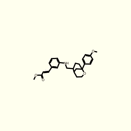 COC(=O)/C=C/c1cccc(NCC2CCC3(c4ccc(OC)cc4)CC2CCO3)c1